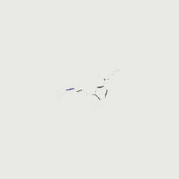 CC/C=C\C=COc1cc(C(=O)OCC)ccc1Br